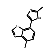 Cc1ncc(-c2ccc(C)c3ncoc23)[nH]1